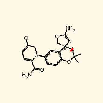 CC1(C)Oc2ccc(N3CC(Cl)=CC=C3C(N)=O)cc2[C@@]2(COC(N)=N2)C12COC2